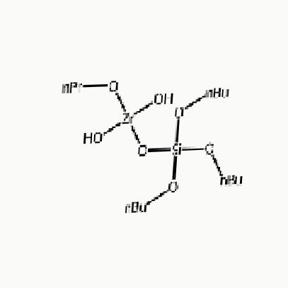 CCCCO[Si](OCCCC)(OCCCC)[O][Zr]([OH])([OH])[O]CCC